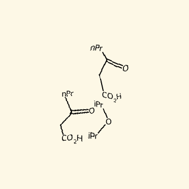 CC(C)OC(C)C.CCCC(=O)CC(=O)O.CCCC(=O)CC(=O)O